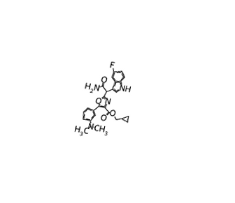 CN(C)c1cccc(-c2oc(C(C(N)=O)c3c[nH]c4ccc(F)cc34)nc2C(=O)OCC2CC2)c1